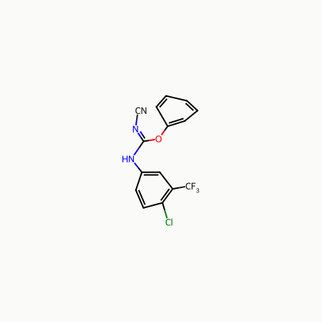 N#C/N=C(/Nc1ccc(Cl)c(C(F)(F)F)c1)Oc1ccccc1